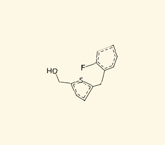 OCc1ccc(Cc2ccccc2F)s1